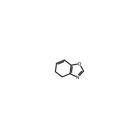 C1=Cc2ocnc2CC1